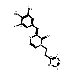 CC(C)(C)c1cc(/C=C2\SC=CN(CCc3nnn[nH]3)C2=O)cc(C(C)(C)C)c1O